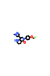 Cn1cc(-c2cn(-c3ccc(OCF)cc3)c(=O)c3c2NCCC3)cn1